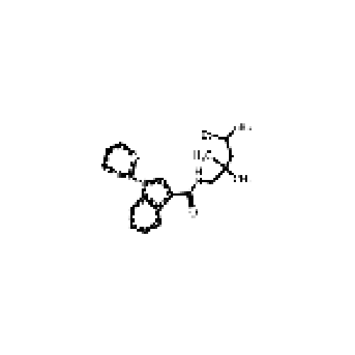 CCCCC(CC)CC(C)(C)CNC(=O)c1cn(-c2ncccn2)c2ccccc12